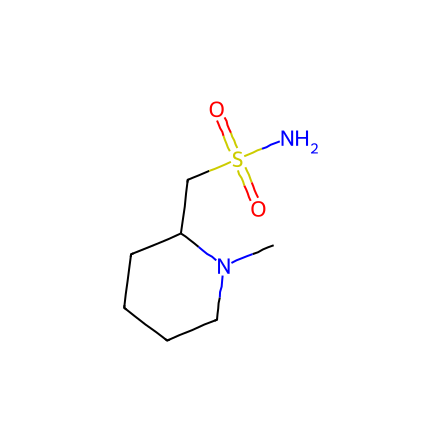 CN1CCCCC1CS(N)(=O)=O